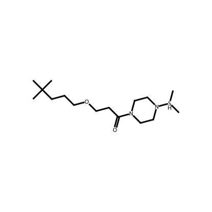 C[SH](C)N1CCN(C(=O)CCOCCCC(C)(C)C)CC1